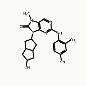 Cc1cc(C#N)ccc1Nc1ncc2c(n1)n(C1CC3CC(O)CC3C1)c(=O)n2C